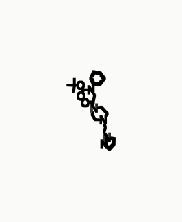 CC(C)(C)OC(=O)N(CC(=O)N1CCN(CCn2cccn2)CC1)c1ccccc1